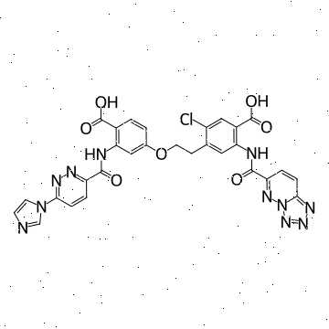 O=C(Nc1cc(OCCc2cc(NC(=O)c3ccc4nnnn4n3)c(C(=O)O)cc2Cl)ccc1C(=O)O)c1ccc(-n2ccnc2)nn1